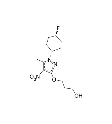 Cc1c([N+](=O)[O-])c(OCCCO)nn1[C@H]1CC[C@H](F)CC1